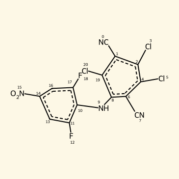 N#Cc1c(Cl)c(Cl)c(C#N)c(Nc2c(F)cc([N+](=O)[O-])cc2F)c1Cl